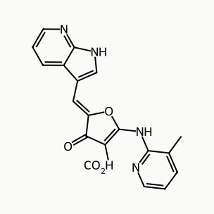 Cc1cccnc1NC1=C(C(=O)O)C(=O)C(=Cc2c[nH]c3ncccc23)O1